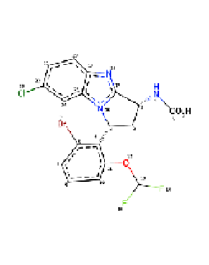 O=C(O)N[C@@H]1C[C@H](c2c(Br)cccc2OC(F)F)n2c1nc1ccc(Cl)cc12